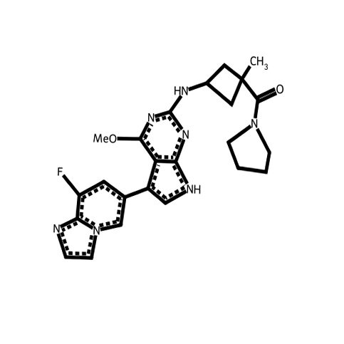 COc1nc(NC2CC(C)(C(=O)N3CCCC3)C2)nc2[nH]cc(-c3cc(F)c4nccn4c3)c12